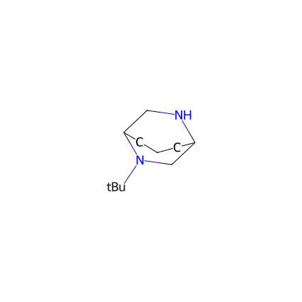 CC(C)(C)N1CC2CCCC1CN2